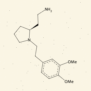 COc1ccc(CCN2CCC[C@H]2CCN)cc1OC